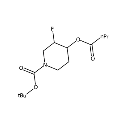 CCCC(=O)OC1CCN(C(=O)OC(C)(C)C)CC1F